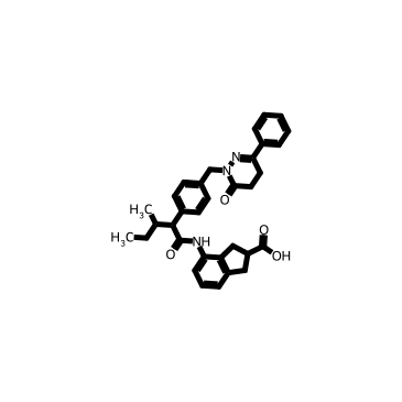 CCC(C)C(C(=O)Nc1cccc2c1CC(C(=O)O)C2)c1ccc(CN2N=C(c3ccccc3)CCC2=O)cc1